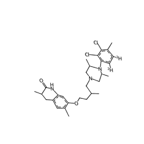 [2H]c1c([2H])c(N2C(C)CN(CC(C)CCOc3cc4c(cc3C)CC(C)C(=O)N4)CC2C)c(Cl)c(Cl)c1C